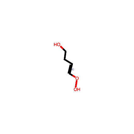 OCC/C=C/OO